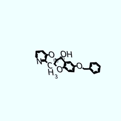 Cc1ncccc1O[C@H]1COc2ccc(OCc3ccccc3)cc2[C@H]1O